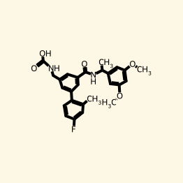 COc1cc(OC)cc(C(C)NC(=O)c2cc(CNC(=O)O)cc(-c3ccc(F)cc3C)c2)c1